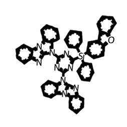 c1ccc([Si](c2ccccc2)(c2ccc3oc4ccccc4c3c2)c2nc(-n3c4ccccc4n4c5ccccc5nc34)nc(-n3c4ccccc4n4c5ccccc5nc34)n2)cc1